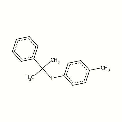 Cc1ccc([I+]C(C)(C)c2ccccc2)cc1